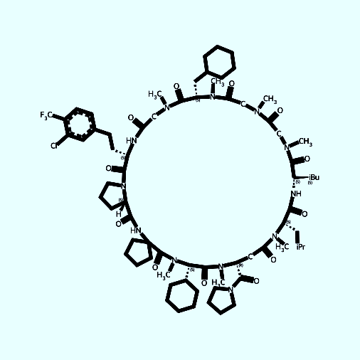 CC[C@H](C)[C@@H]1NC(=O)[C@H](CC(C)C)N(C)C(=O)C[C@H](C(=O)N2CCCC2)N(C)C(=O)[C@H](C2CCCCC2)N(C)C(=O)C2(CCCC2)NC(=O)[C@@H]2CCCN2C(=O)[C@H](CCc2ccc(C(F)(F)F)c(Cl)c2)NC(=O)CN(C)C(=O)[C@H](CC2CCCCC2)N(C)C(=O)CN(C)C(=O)CN(C)C1=O